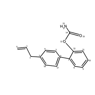 C=CCc1ccc(-c2ccccc2OC(N)=O)cc1